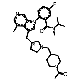 CC(=O)N1CCC(CN2CC[C@@H](Cc3cn(-c4ccc(F)cc4C(=O)N(C)C(C)C)c4cncc(C)c34)C2)CC1